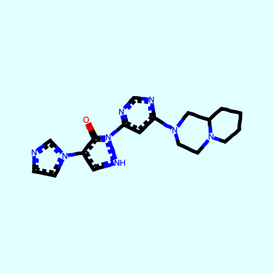 O=c1c(-n2ccnc2)c[nH]n1-c1cc(N2CCN3CCCCC3C2)ncn1